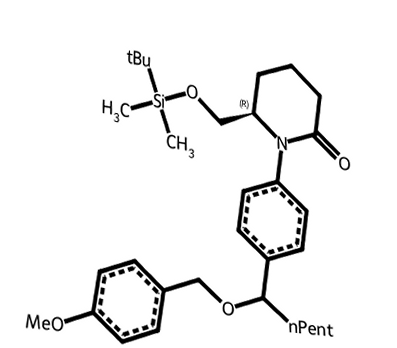 CCCCCC(OCc1ccc(OC)cc1)c1ccc(N2C(=O)CCC[C@@H]2CO[Si](C)(C)C(C)(C)C)cc1